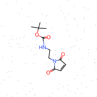 CC(C)(C)OC(=O)NCCN1C(=O)C=CC1=O